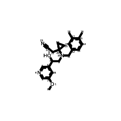 COc1cncc(C(O)CN(Cc2ccc(C)c(C)c2)C2(CC#N)CC2)c1